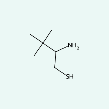 CC(C)(C)C(N)CS